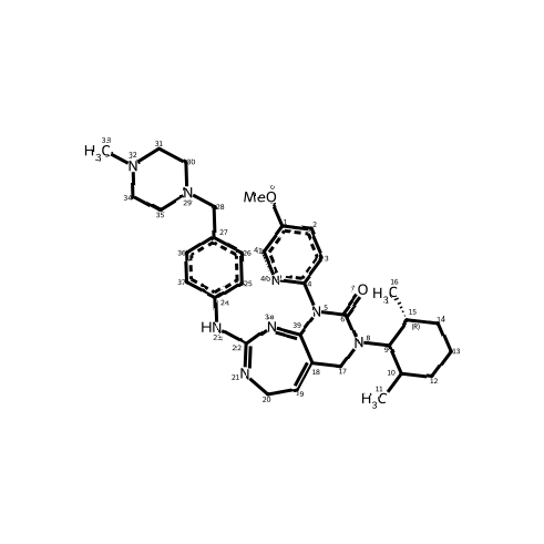 COc1ccc(N2C(=O)N(C3C(C)CCC[C@H]3C)CC3=CCN=C(Nc4ccc(CN5CCN(C)CC5)cc4)N=C32)nc1